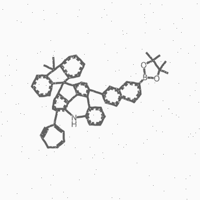 CC1(C)c2ccccc2C2(c3ccccc31)c1ccc(C3=CC=CCC#C3)c3c1-c1c2ccc(-c2ccc4ccc(B5OC(C)(C)C(C)(C)O5)cc4c2)c1-c1ccccc1N3